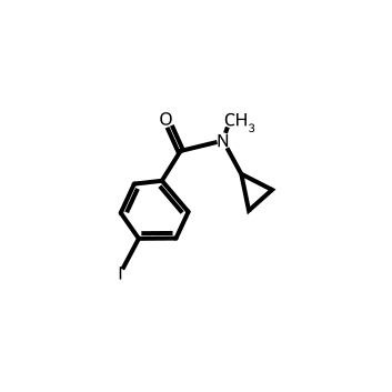 CN(C(=O)c1ccc(I)cc1)C1CC1